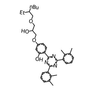 CCCCC(CC)COCC(O)COc1ccc(-c2nc(-c3cccc(C)c3C)nc(-c3cccc(C)c3C)n2)c(O)c1